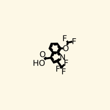 O=C(O)c1cc(C(F)(F)F)nc2c(OC(F)F)cccc12